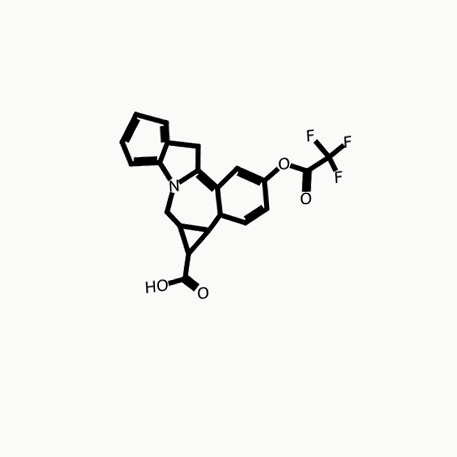 O=C(O)C1C2CN3C(=C4C=C(OC(=O)C(F)(F)F)C=CC4C21)Cc1ccccc13